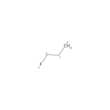 CC[C]F